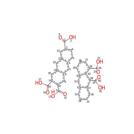 O=C(O)c1ccc2cc3cc(C(=O)O)c(C(=O)O)cc3cc2c1.O=C(O)c1cccc2cc3ccccc3c(C(=O)O)c12